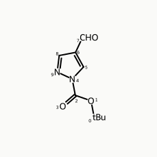 CC(C)(C)OC(=O)n1cc(C=O)cn1